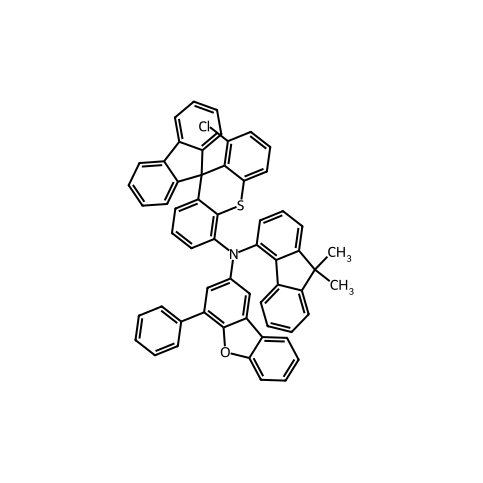 CC1(C)c2ccccc2-c2c(N(c3cc(-c4ccccc4)c4oc5ccccc5c4c3)c3cccc4c3Sc3cccc(Cl)c3C43c4ccccc4-c4ccccc43)cccc21